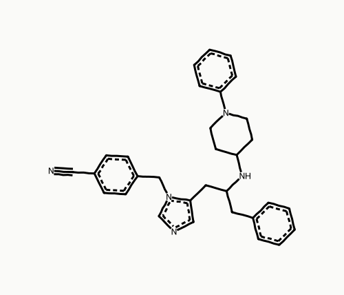 N#Cc1ccc(Cn2cncc2CC(Cc2ccccc2)NC2CCN(c3ccccc3)CC2)cc1